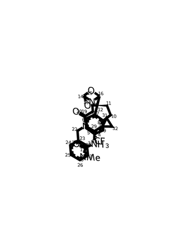 CNC(=O)Nc1ccc2c(c1)CC[C@]21OC2OC1N2CC(=O)N(Cc1ccccc1)[C@H](C1CC1)C(F)(F)F